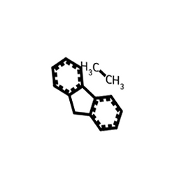 CC.c1ccc2c(c1)Cc1ccccc1-2